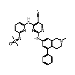 CN1CCc2c(cc(Nc3ncc(C#N)c(Nc4cccc(N=S(C)(C)=O)n4)n3)cc2-c2ccccc2)C1